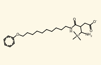 C[N+](C)(C)C(N)C(CC(=O)[O-])C(=O)NCCCCCCCCCCOc1ccccc1